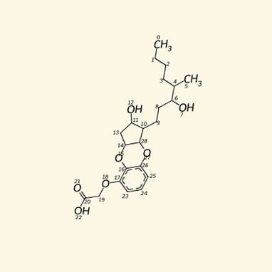 CCCCC(C)C(O)CCC1C(O)CC2Oc3c(OCC(=O)O)cccc3OC21